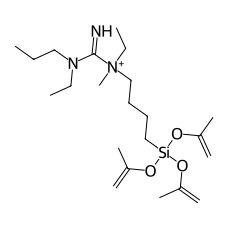 C=C(C)O[Si](CCCC[N+](C)(CC)C(=N)N(CC)CCC)(OC(=C)C)OC(=C)C